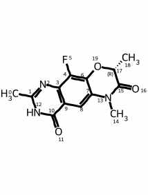 Cc1nc2c(F)c3c(cc2c(=O)[nH]1)N(C)C(=O)[C@@H](C)O3